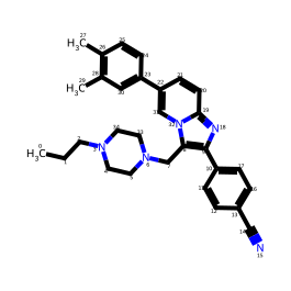 CCCN1CCN(Cc2c(-c3ccc(C#N)cc3)nc3ccc(-c4ccc(C)c(C)c4)cn23)CC1